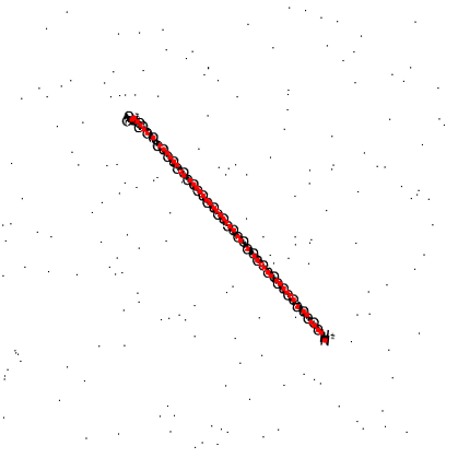 [N-]=[N+]=NCCOCCOCCOCCOCCOCCOCCOCCOCCOCCOCCOCCOCCOCCOCCOCCOCCOCCOCCOCCOCCOCCOCCOCCOCCOCCOCCOCCOCCOCCOCCOCCOCCOCCOCCOCCOC(=O)Oc1ccc([N+](=O)[O-])cc1